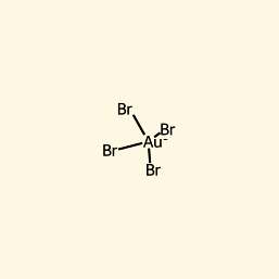 [Br][Au-]([Br])([Br])[Br]